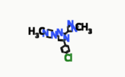 CN1CCN(c2cc(-c3ccc(Cl)cc3)nc(-c3cnn(C)c3)n2)CC1